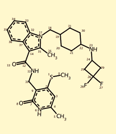 CSc1cc(C)[nH]c(=O)c1CNC(=O)c1c(C)n(CC2CCC(NC3CC(F)(F)C3)CC2)c2ccccc12